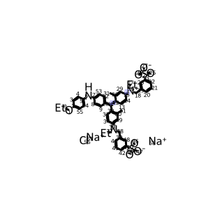 CCOc1ccc(Nc2ccc(/C(=C3C=C/C(=[N+](/CC)Cc4cccc(S(=O)(=O)[O-])c4)C=C/3C)c3ccc(N(CC)Cc4cccc(S(=O)(=O)[O-])c4)cc3C)cc2)cc1.[Cl-].[Na+].[Na+]